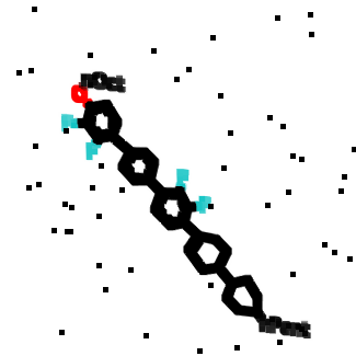 CCCCCCCCOc1ccc(-c2ccc(-c3ccc(C4=CCC(C5CCC(CCCCC)CC5)CC4)c(F)c3F)cc2)c(F)c1F